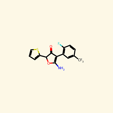 NC1=C(c2cc(C(F)(F)F)ccc2F)C(=O)C(c2cccs2)O1